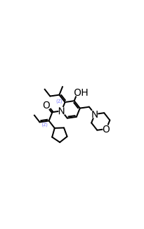 C/C=C(\C(=O)N1C=CC(CN2CCOCC2)=C(O)/C1=C(\C)CC)C1CCCC1